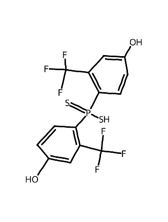 Oc1ccc(P(=S)(S)c2ccc(O)cc2C(F)(F)F)c(C(F)(F)F)c1